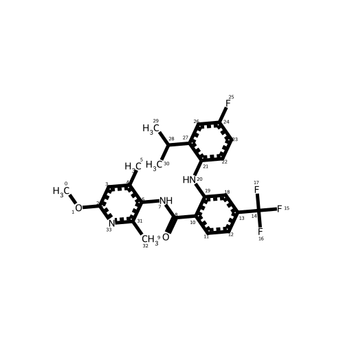 COc1cc(C)c(NC(=O)c2ccc(C(F)(F)F)cc2Nc2ccc(F)cc2C(C)C)c(C)n1